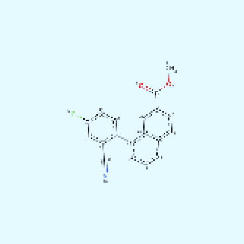 COC(=O)c1ccc2cccc(-c3ccc(F)cc3C#N)c2c1